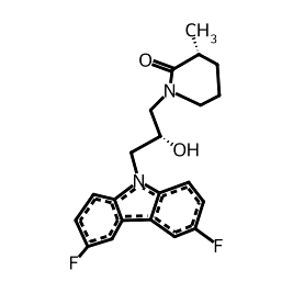 C[C@@H]1CCCN(C[C@H](O)Cn2c3ccc(F)cc3c3cc(F)ccc32)C1=O